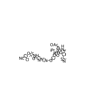 CC(=O)O[C@@H]1C[C@@H](C(=O)N[C@@H](C)c2ccc(-c3scnc3C)cc2)N(C(=O)[C@H](C(C)C)N2Cc3cc(OCCN4CCN(c5ccc(C(=O)N[C@H]6C(C)(C)[C@H](Oc7ccc(C#N)c(Cl)c7)C6(C)C)cn5)CC4)ccc3C2=O)C1